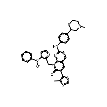 Cc1scnc1-c1cc2cnc(Nc3ccc(C4CN(C)CCS4)cc3)nc2n(Cc2sccc2[S+]([O-])c2ccccc2)c1=O